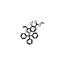 C=Cc1nn(C(c2ccccc2)(c2ccccc2)c2ccccc2)c2ccc(C(=O)OCC)c(OC)c12